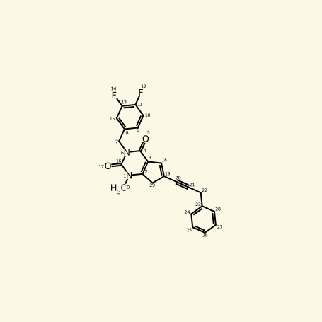 Cn1c2c(c(=O)n(Cc3ccc(F)c(F)c3)c1=O)C=C(C#CCc1ccccc1)C2